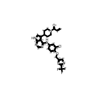 C=CC(=O)N1CCC(c2c[nH]c3ncnc(Nc4ccc(OCc5cnc(C(F)(F)F)s5)c(Cl)c4)c23)CC1